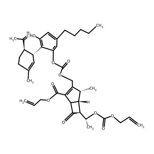 C=CCOC(=O)O[C@H](C)[C@H]1C(=O)C2C(C(=O)OCC=C)=C(COC(=O)Oc3cc(CCCCC)cc(O)c3[C@@H]3C=C(C)CC[C@H]3C(=C)C)[C@H](C)[C@@H]21